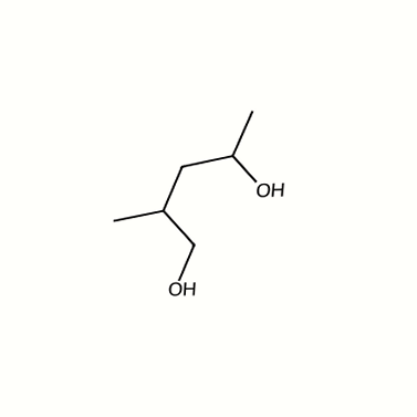 CC(O)CC(C)CO